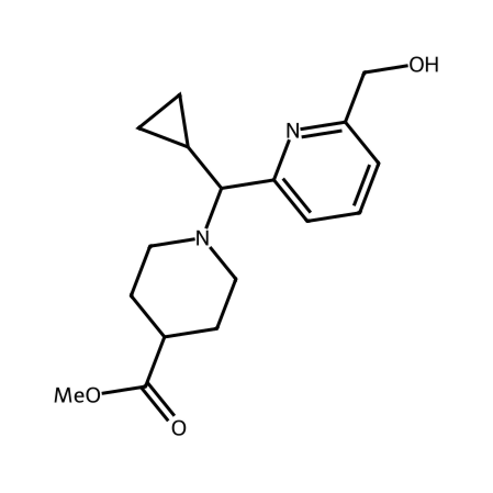 COC(=O)C1CCN(C(c2cccc(CO)n2)C2CC2)CC1